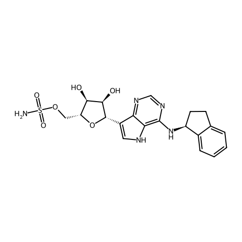 NS(=O)(=O)OC[C@H]1O[C@@H](c2c[nH]c3c(N[C@H]4CCc5ccccc54)ncnc23)[C@H](O)[C@@H]1O